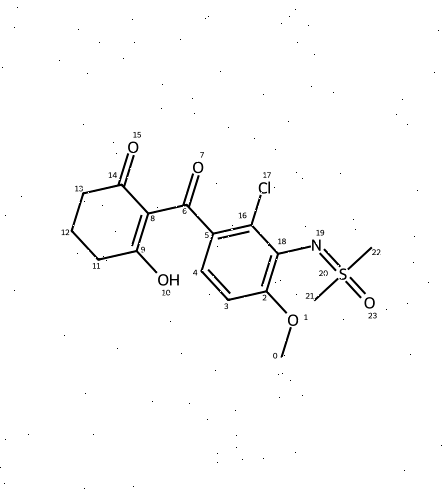 COc1ccc(C(=O)C2=C(O)CCCC2=O)c(Cl)c1N=S(C)(C)=O